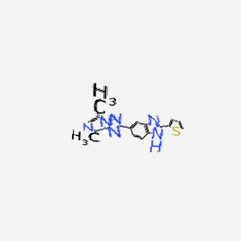 Cc1ncc(C)n2nc(-c3ccc4[nH]c(-c5cccs5)nc4c3)nc12